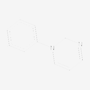 [c]1cccc(N2C=CC=NC2)c1